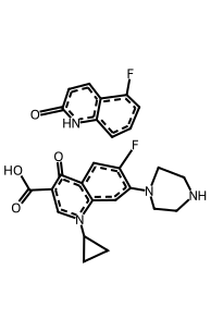 O=C(O)c1cn(C2CC2)c2cc(N3CCNCC3)c(F)cc2c1=O.O=c1ccc2c(F)cccc2[nH]1